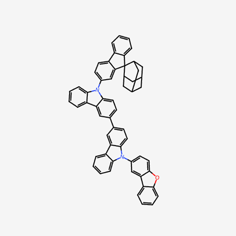 c1ccc2c(c1)-c1ccc(-n3c4ccccc4c4cc(-c5ccc6c(c5)c5ccccc5n6-c5ccc6oc7ccccc7c6c5)ccc43)cc1C21C2CC3CC(C2)CC1C3